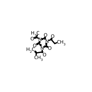 C=C(C)C(=O)n1c(=O)n(C(C)=O)c(=O)n(C(=O)CC)c1=O